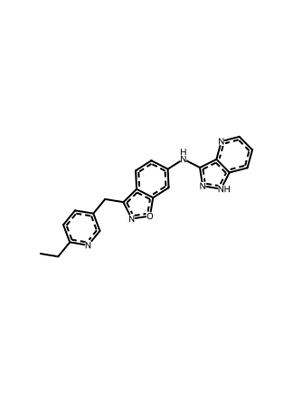 CCc1ccc(Cc2noc3cc(Nc4n[nH]c5cccnc45)ccc23)cn1